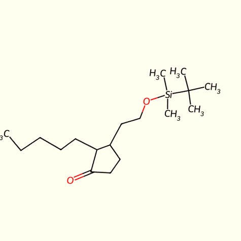 CCCCCC1C(=O)CCC1CCO[Si](C)(C)C(C)(C)C